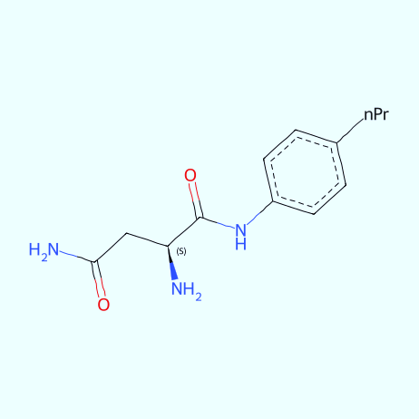 CCCc1ccc(NC(=O)[C@@H](N)CC(N)=O)cc1